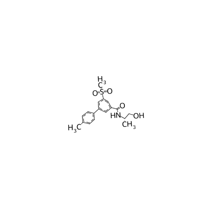 Cc1ccc(-c2cc(C(=O)N[C@@H](C)CO)cc(S(C)(=O)=O)c2)cc1